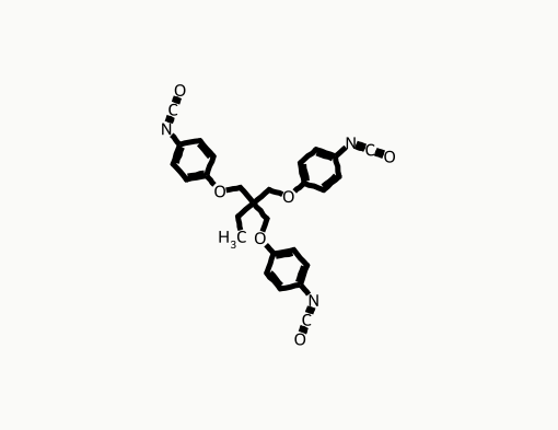 CCC(COc1ccc(N=C=O)cc1)(COc1ccc(N=C=O)cc1)COc1ccc(N=C=O)cc1